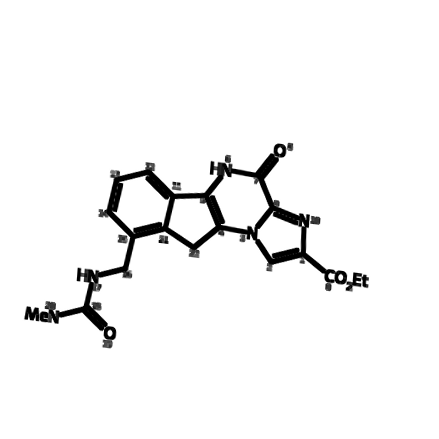 CCOC(=O)c1cn2c3c([nH]c(=O)c2n1)-c1cccc(CNC(=O)NC)c1C3